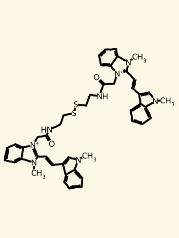 Cn1cc(/C=C/c2n(C)c3ccccc3[n+]2CC(=O)NCCSSCCNC(=O)C[n+]2c(/C=C/c3cn(C)c4ccccc34)n(C)c3ccccc32)c2ccccc21